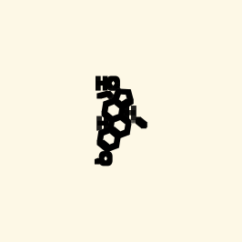 C=C[C@@H]1CC2=C(CC=C(OC)C2)[C@H]2CC[C@@]3(CC)C(=CC[C@@H]3O)[C@H]12